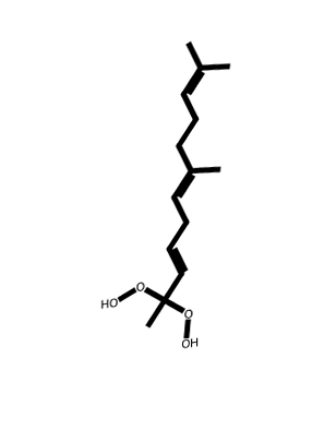 CC(C)=CCC/C(C)=C/C/C=C/C(C)(OO)OO